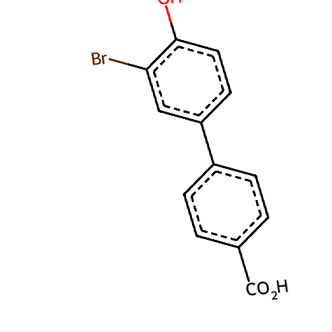 O=C(O)c1ccc(-c2ccc(O)c(Br)c2)cc1